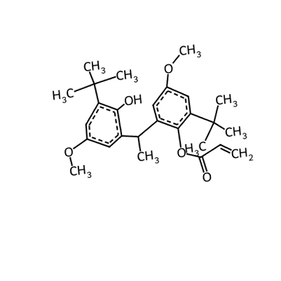 C=CC(=O)Oc1c(C(C)c2cc(OC)cc(C(C)(C)C)c2O)cc(OC)cc1C(C)(C)C